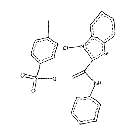 C=C(Nc1ccccc1)c1[se]c2ccccc2[n+]1CC.Cc1ccc(S(=O)(=O)[O-])cc1